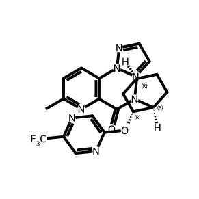 Cc1ccc(-n2nccn2)c(C(=O)N2[C@@H]3CC[C@H]2[C@H](Oc2cnc(C(F)(F)F)cn2)C3)n1